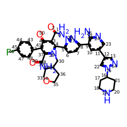 NC(=O)c1c(-c2ccc(-c3cc(-c4cnn(C5CCNCC5)c4)cnc3N)nn2)n(CC2CCOCC2)c(C(N)=O)c(-c2ccc(F)cc2)c1=O